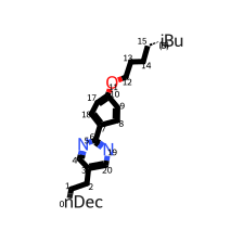 CCCCCCCCCCCCc1cnc(-c2ccc(OCCCC[C@@H](C)CC)cc2)nc1